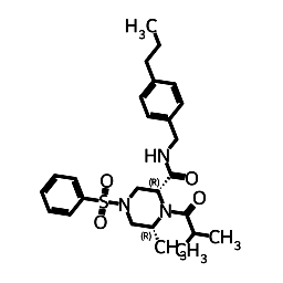 CCCc1ccc(CNC(=O)[C@H]2CN(S(=O)(=O)c3ccccc3)C[C@@H](C)N2C(=O)C(C)C)cc1